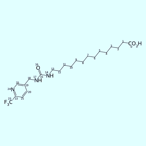 O=C(O)CCCCCCCCCCCCCNC(=O)NCc1ccc(C(F)(F)F)nc1